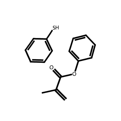 C=C(C)C(=O)Oc1ccccc1.Sc1ccccc1